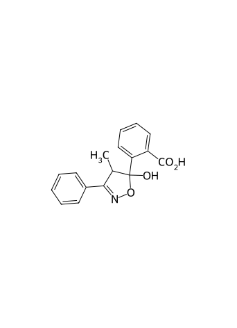 CC1C(c2ccccc2)=NOC1(O)c1ccccc1C(=O)O